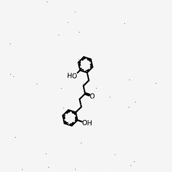 O=C(CCc1ccccc1O)CCc1ccccc1O